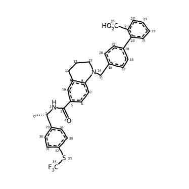 C[C@H](NC(=O)c1ccc2c(c1)CCCN2Cc1ccc(-c2ccccc2C(=O)O)cc1)c1ccc(SC(F)(F)F)cc1